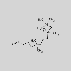 CC(C)(CCCC=O)CCCC(C)(C)O[Si](C)(C)C